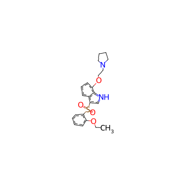 CCOc1ccccc1S(=O)(=O)c1c[nH]c2c(OCCN3CCCC3)cccc12